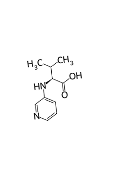 CC(C)[C@H](Nc1cccnc1)C(=O)O